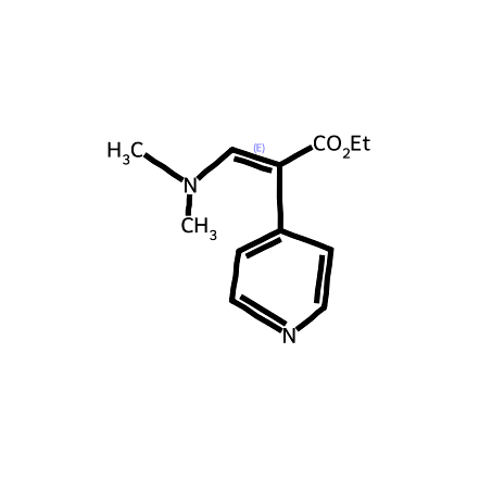 CCOC(=O)/C(=C/N(C)C)c1ccncc1